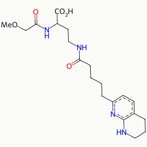 COCC(=O)NC(CCNC(=O)CCCCc1ccc2c(n1)NCCC2)C(=O)O